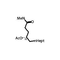 CCCCCCCC[C@@H](CCC(=O)NC)OC(C)=O